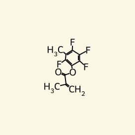 C=C(C)C(=O)Oc1c(F)c(C)c(F)c(F)c1F